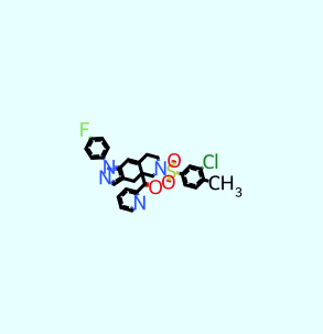 Cc1ccc(S(=O)(=O)N2CCC3=Cc4c(cnn4-c4ccc(F)cc4)CC3(C(=O)c3ccccn3)C2)cc1Cl